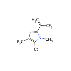 C=C(c1cc(C(F)(F)F)c(CC)n1C)C(F)(F)F